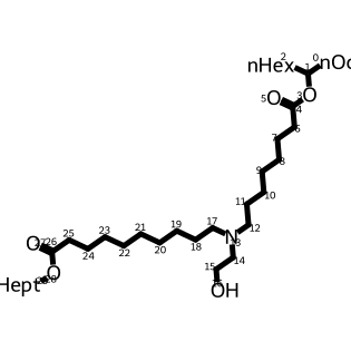 CCCCCCCCC(CCCCCC)OC(=O)CCCCCCCN(CCO)CCCCCCCCCC(=O)OCCCCCCC